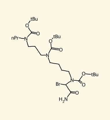 CCCN(CCCN(CCCCN(C(=O)OC(C)(C)C)C(Br)C(N)=O)C(=O)OC(C)(C)C)C(=O)OC(C)(C)C